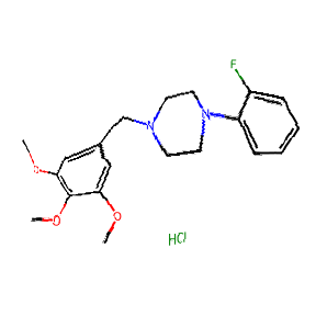 COc1cc(CN2CCN(c3ccccc3F)CC2)cc(OC)c1OC.Cl